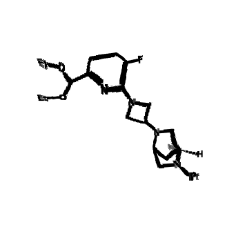 CCOC(OCC)c1ccc(F)c(N2CC(N3C[C@@H]4CC3CN4C(C)C)C2)n1